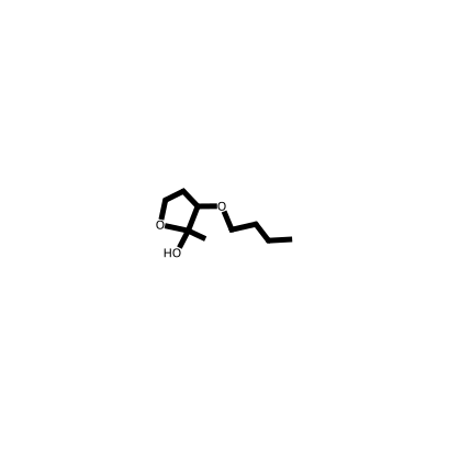 CCCCOC1CCOC1(C)O